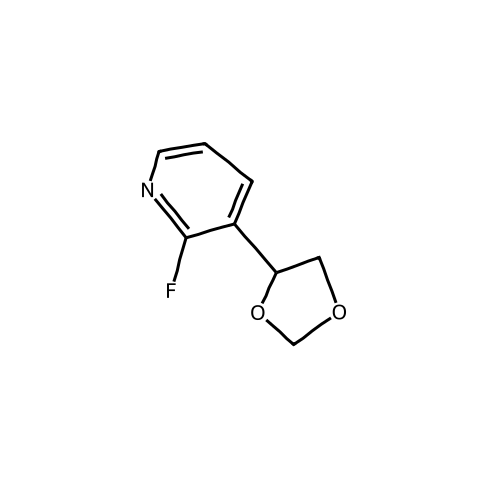 Fc1ncccc1C1COCO1